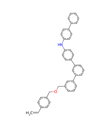 C=Cc1ccc(COCc2cccc(-c3cccc(-c4ccc(Nc5ccc(-c6ccccc6)cc5)cc4)c3)c2)cc1